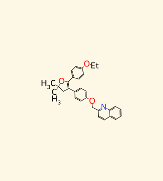 CCOc1ccc(C2=C(c3ccc(OCc4ccc5ccccc5n4)cc3)CC(C)(C)O2)cc1